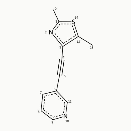 Cc1nc(C#Cc2cccnc2)c(C)s1